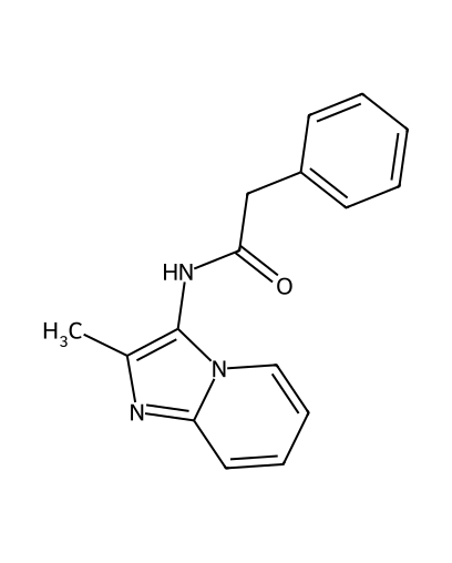 Cc1nc2ccccn2c1NC(=O)Cc1ccccc1